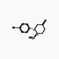 O=C1CC[C@@H](C(=O)O)[C@H](c2ccc(Br)cc2)C1